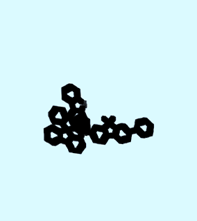 CC1(C)c2cc(-c3ccccc3)ccc2-c2ccc(N(c3ccc4c(c3)sc3ccccc34)c3cccc4c3C3(c5ccccc5-c5ccccc53)c3ccccc3-4)cc21